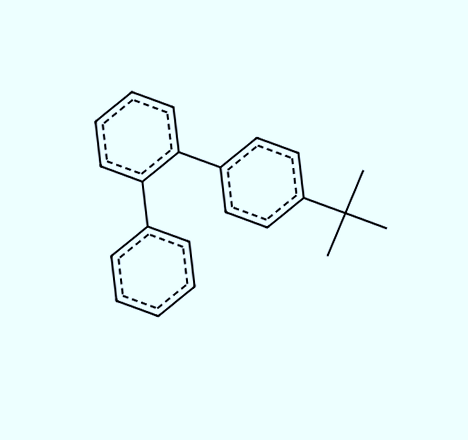 CC(C)(C)c1ccc(-c2ccccc2-c2ccccc2)cc1